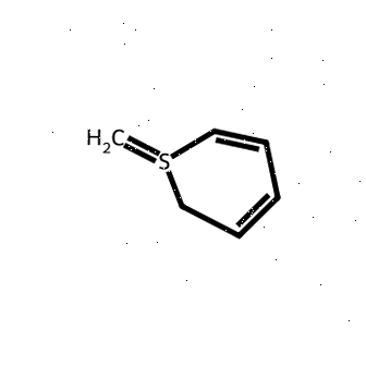 C=S1C=CC=CC1